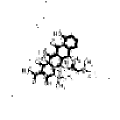 C[C@@H]1c2cccc(O)c2C(=O)C2=C(O)[C@@]3(O)C(=O)C(C(N)=O)=C(O)[C@@H](N(C)C)[C@@H]3[C@H](OC(=O)CN(C)C)[C@@H]21